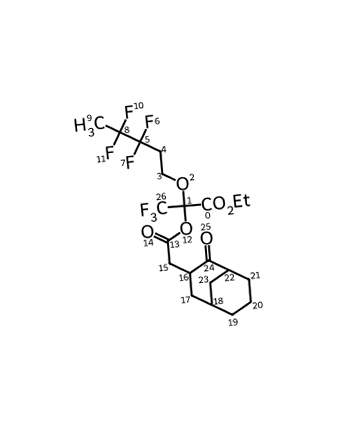 CCOC(=O)C(OCCC(F)(F)C(C)(F)F)(OC(=O)CC1CC2CCCC(C2)C1=O)C(F)(F)F